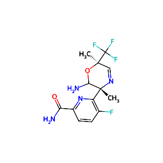 C[C@]1(C(F)(F)F)C=N[C@](C)(c2nc(C(N)=O)ccc2F)C(N)O1